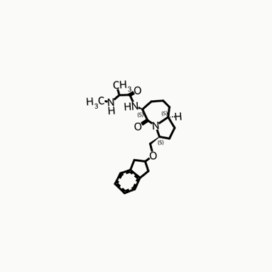 CNC(C)C(=O)N[C@H]1CCC[C@H]2CC[C@@H](COC3Cc4ccccc4C3)N2C1=O